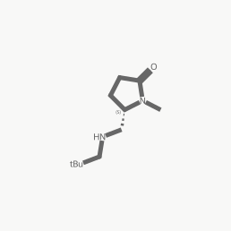 CN1C(=O)CC[C@H]1CNCC(C)(C)C